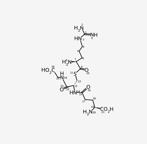 N=C(N)NCCC[C@H](N)C(=O)SC[C@H](NC(=O)CC[C@H](N)C(=O)O)C(=O)NCC(=O)O